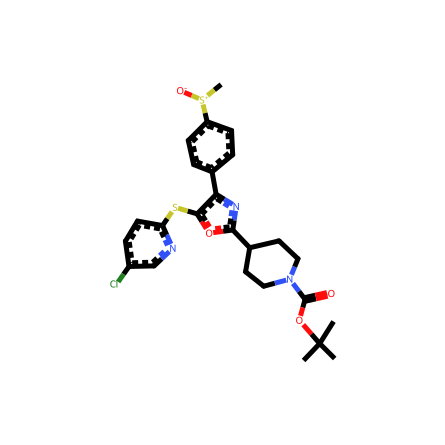 C[S+]([O-])c1ccc(-c2nc(C3CCN(C(=O)OC(C)(C)C)CC3)oc2Sc2ccc(Cl)cn2)cc1